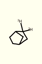 [2H]C1([2H])CC2CCC1C2